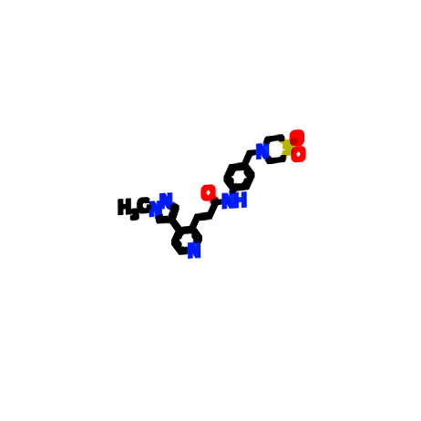 Cn1cc(-c2ccncc2/C=C/C(=O)Nc2ccc(CN3CCS(=O)(=O)CC3)cc2)cn1